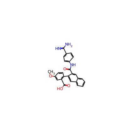 COc1ccc(-c2cc3ccccc3cc2C(=O)Nc2ccc(C(=N)N)cc2)c(C(=O)O)c1